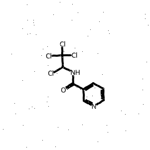 O=C(NC(Cl)C(Cl)(Cl)Cl)c1cccnc1